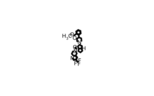 COC(=O)c1ccccc1C1CCN([C@H]2C[C@H]3CCC[C@@]3(C(=O)N3CCc4ncc(C(F)(F)F)cc4C3)C2)CC1